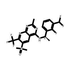 Cc1nc(N[C@H](C)c2cccc(C(F)F)c2F)c2cc(P(C)(C)=O)c(C(F)(F)F)nc2n1